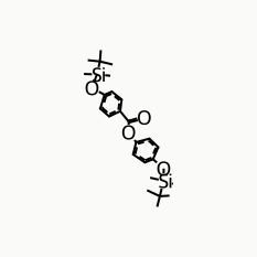 CC(C)(C)[Si](C)(C)Oc1ccc(OC(=O)c2ccc(O[Si](C)(C)C(C)(C)C)cc2)cc1